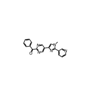 Cn1cc(-c2cnc(C(=O)c3ccccc3)nc2)nc1-c1cccnc1